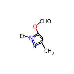 CCn1nc(C)cc1OC=O